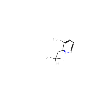 Cc1cccnc1CC(C)(C)C